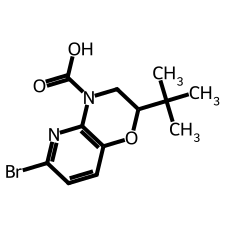 CC(C)(C)C1CN(C(=O)O)c2nc(Br)ccc2O1